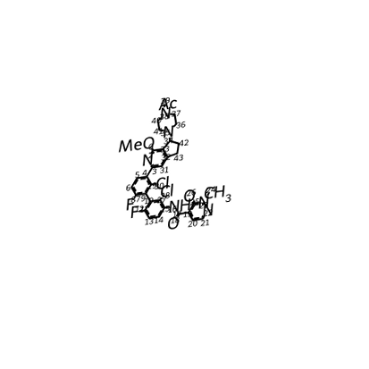 COc1nc(-c2ccc(F)c(-c3c(F)ccc(NC(=O)c4ccnn(C)c4=O)c3Cl)c2Cl)cc2c1C(N1CCN(C(C)=O)CC1)CC2